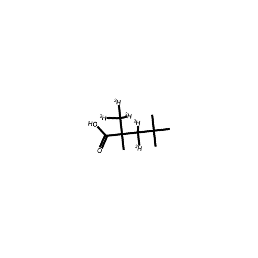 [2H]C([2H])([2H])C(C)(C(=O)O)C([2H])([2H])C(C)(C)C